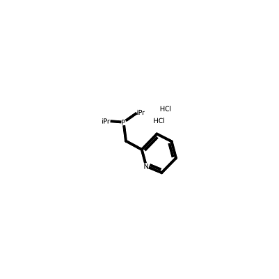 CC(C)P(Cc1ccccn1)C(C)C.Cl.Cl